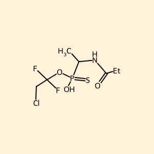 CCC(=O)NC(C)P(O)(=S)OC(F)(F)CCl